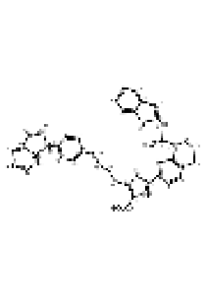 O=C(O)c1nc(-c2ccc3c(c2)N(C(=O)Nc2nc4ccccc4s2)CCC3)sc1CCCOc1ccc(-n2ncc3cncnc32)cc1